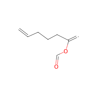 [CH]=C(CCCC=C)OC=O